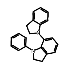 c1ccc(N2CCc3cccc(N4CCc5ccccc54)c32)cc1